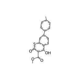 COC(=O)c1c(O)c2ccc(-c3ccc(C)cc3)cc2sc1=O